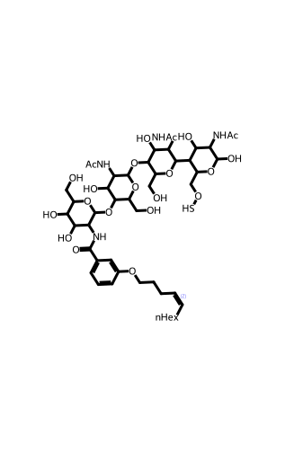 CCCCCC/C=C\CCCOc1cccc(C(=O)NC2C(OC3C(CO)OC(OC4C(CO)OC(C5C(COS)OC(O)C(NC(C)=O)C5O)C(NC(C)=O)C4O)C(NC(C)=O)C3O)OC(CO)C(O)C2O)c1